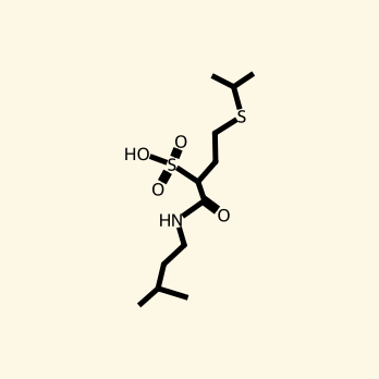 CC(C)CCNC(=O)C(CCSC(C)C)S(=O)(=O)O